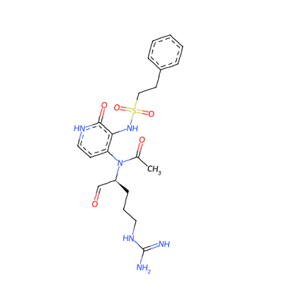 CC(=O)N(c1cc[nH]c(=O)c1NS(=O)(=O)CCc1ccccc1)[C@H](C=O)CCCNC(=N)N